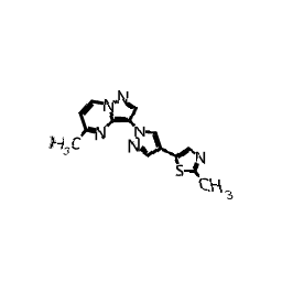 Cc1ccn2ncc(-n3cc(-c4cnc(C)s4)cn3)c2n1